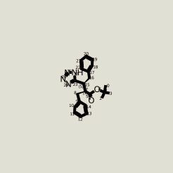 CC(C)(C)OC(=O)[C@@H](Cc1ccccc1)[C@H](Cc1ccccc1)c1nnn[nH]1